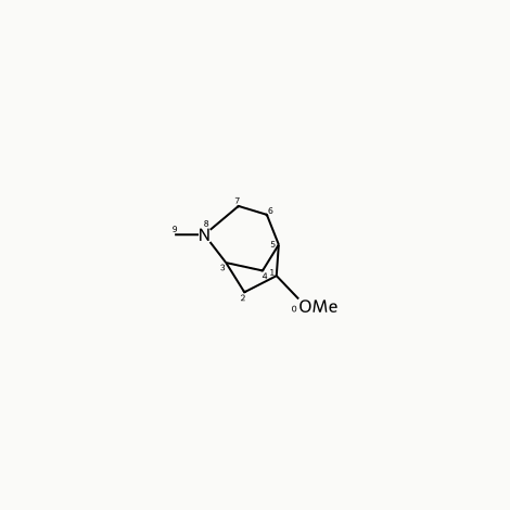 COC1CC2CC1CCN2C